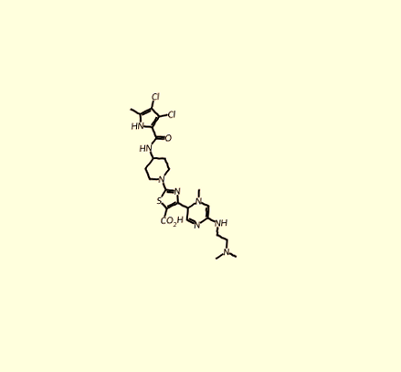 Cc1[nH]c(C(=O)NC2CCN(c3nc(C4C=NC(NCCN(C)C)=CN4C)c(C(=O)O)s3)CC2)c(Cl)c1Cl